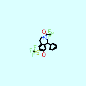 COc1cc2c(cc1SC(F)(F)F)CCN(C(=O)C(F)(F)F)CC2c1ccccc1